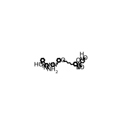 Cn1c(=O)n(C2CCC(=O)NC2=O)c2ccc(CCCCCOc3cccc(CN4CCN(c5cc(-c6ccccc6O)nnc5N)CC4)c3)cc21